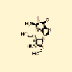 Nc1nc2c(ncn2[C@@H]2O[C@H](CO)[C@H](O)[C@H]2OCO)c(=O)[nH]1